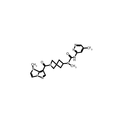 CN(C(=O)Nc1cc(C(F)(F)F)cnn1)C1CC2(C1)CN(C(=O)c1cnn3ccn(C)c13)C2